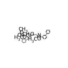 CCOC(=O)C(C)(C)Oc1ccc(OCCc2nc(-c3cccc(-c4ccccc4)c3)oc2C)cc1CC1CCCCC1